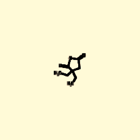 CCC1(CC)CC(=O)[N]C1=O